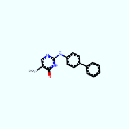 CCOC(=O)c1cnc(Nc2ccc(-c3ccccc3)cc2)[nH]c1=O